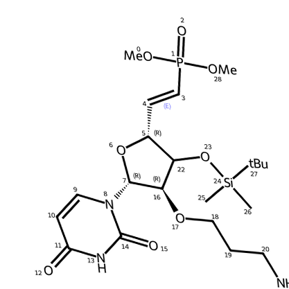 COP(=O)(/C=C/[C@H]1O[C@@H](n2ccc(=O)[nH]c2=O)[C@H](OCCCNC(C)=O)C1O[Si](C)(C)C(C)(C)C)OC